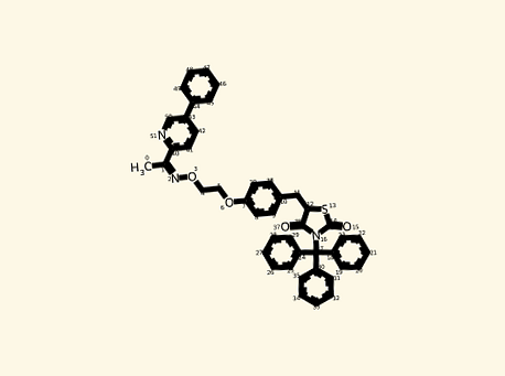 CC(=NOCCOc1ccc(CC2SC(=O)N(C(c3ccccc3)(c3ccccc3)c3ccccc3)C2=O)cc1)c1ccc(-c2ccccc2)cn1